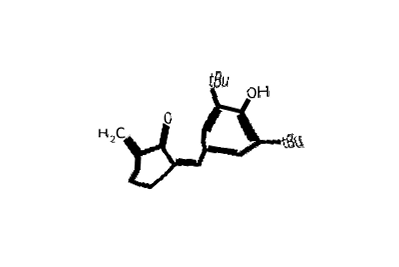 C=C1CCC(=Cc2cc(C(C)(C)C)c(O)c(C(C)(C)C)c2)C1=O